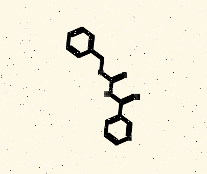 N=C(NC(=O)OCc1ccccc1)c1cc[c]nc1